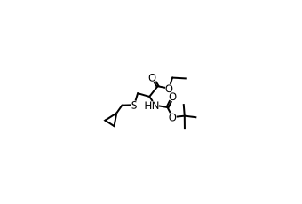 CCOC(=O)C(CSCC1CC1)NC(=O)OC(C)(C)C